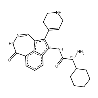 N[C@@H](C(=O)Nn1c(C2=CCNCC2)c2c3c(cccc31)C(=O)NN=C2)C1CCCCC1